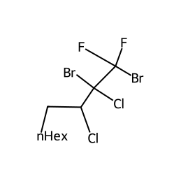 CCCCCCCC(Cl)C(Cl)(Br)C(F)(F)Br